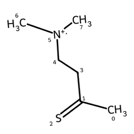 CC(=S)CC[N+](C)C